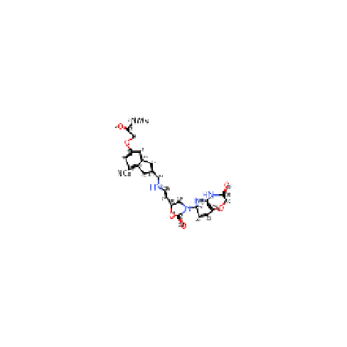 CNC(=O)COc1cc(C#N)c2c(c1)CC(CNCCC1CN(c3ccc4c(n3)NC(=O)CO4)C(=O)O1)C2